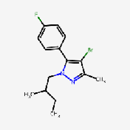 CCC(C)Cn1nc(C)c(Br)c1-c1ccc(F)cc1